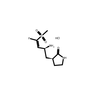 CS(=O)(=O)/C(F)=C\[C@@H](N)C[C@@H]1CCNC1=O.Cl